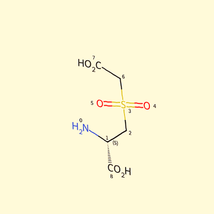 N[C@H](CS(=O)(=O)CC(=O)O)C(=O)O